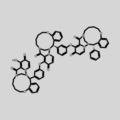 O=C1c2c(O)c(=O)ccn2N2CN1CCCCOc1ccccc1C2c1cccc(Oc2c3n(ccc2=O)N2CN(CCCCOc4ccccc4[C@H]2c2cccc(Oc4c5n(ccc4=O)N4CN(CCCCOc6ccccc6[C@@H]4c4ccccc4)C5=O)c2)C3=O)c1